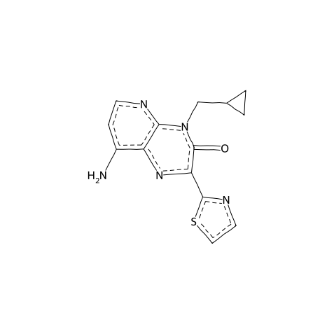 Nc1ccnc2c1nc(-c1nccs1)c(=O)n2CC1CC1